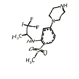 CC(Nc1cc(N2CCNCC2)ccc1S(C)(=O)=O)C(F)(F)F